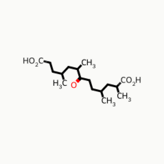 CC(CCC(=O)C(C)CC(C)CCC(=O)O)CC(C)C(=O)O